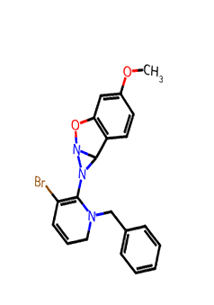 COc1ccc2c(c1)ON1C2N1C1=C(Br)C=CCN1Cc1ccccc1